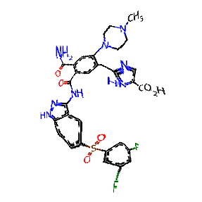 CN1CCN(c2cc(C(N)=O)c(C(=O)Nc3n[nH]c4ccc(S(=O)(=O)c5cc(F)cc(F)c5)cc34)cc2-c2ncc(C(=O)O)[nH]2)CC1